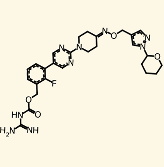 N=C(N)NC(=O)OCc1cccc(-c2cnc(N3CCC(=NOCc4cnn(C5CCCCO5)c4)CC3)nc2)c1F